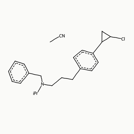 CC#N.CC(C)N(CCCc1ccc(C2CC2Cl)cc1)Cc1ccccc1